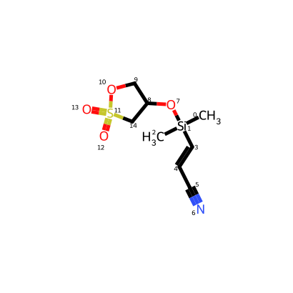 C[Si](C)(C=CC#N)OC1COS(=O)(=O)C1